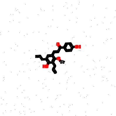 C=CCc1cc(C=CC(=O)c2ccc(O)cc2)c(OC(C)C)c(CC=C)c1O